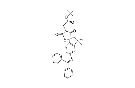 CC(C)(C)OC(=O)CN1C(=O)OC2(CC3(CC3)c3cc(N=C(c4ccccc4)c4ccccc4)ccc32)C1=O